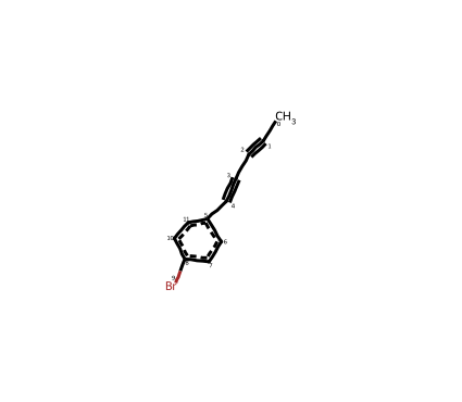 CC#CC#Cc1ccc(Br)cc1